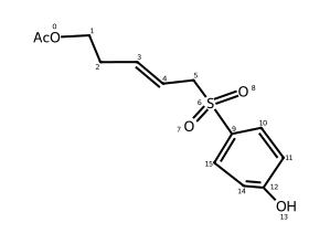 CC(=O)OCCC=CCS(=O)(=O)c1ccc(O)cc1